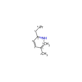 C=C(C)/C=C\C(=N)CC(C)C